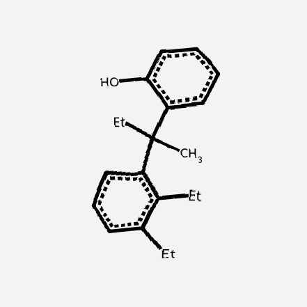 CCc1cccc(C(C)(CC)c2ccccc2O)c1CC